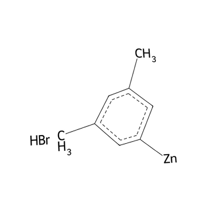 Br.Cc1cc(C)c[c]([Zn])c1